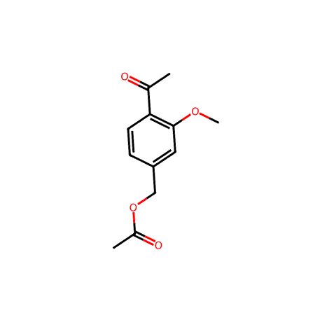 COc1cc(COC(C)=O)ccc1C(C)=O